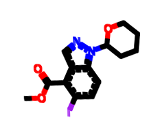 COC(=O)c1c(I)ccc2c1cnn2C1CCCCO1